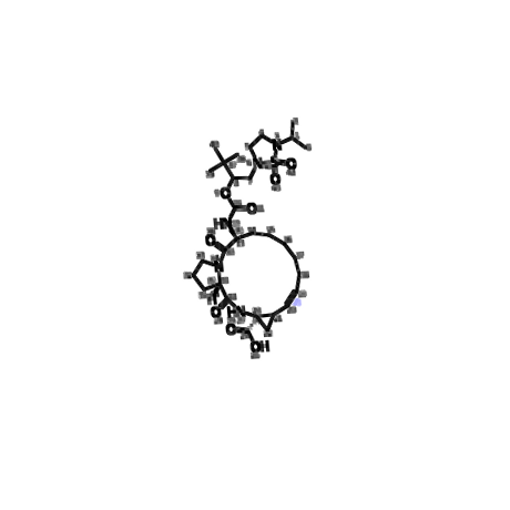 CC(C)N1CCN(CC(OC(=O)N[C@H]2CCCCC/C=C\C3C[C@@]3(C(=O)O)NC(=O)[C@@H]3CCCN3C2=O)C(C)(C)C)S1(=O)=O